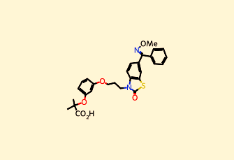 CO/N=C(\c1ccccc1)c1ccc2c(c1)sc(=O)n2CCCOc1cccc(OC(C)(C)C(=O)O)c1